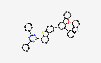 c1ccc(-c2nc(-c3ccccc3)nc(-c3cccc4c3sc3ccc(-c5cc(-c6cccc7sc8ccccc8c67)c6oc7ccccc7c6c5)cc34)n2)cc1